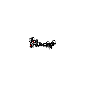 C=CC(=O)N1CCN(S(=O)(=O)c2ccc(N3CC(CN4CCC([C@@](CN5CCC5)(c5cccc(F)c5)[C@H]5CCC[C@@H]5NC(=O)OC)CC4)(OC)C3)cc2)CC(F)(F)C1